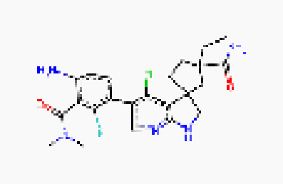 CCC1(C(N)=O)CCC2(CNc3ncc(-c4ccc(N)c(C(=O)N(C)C)c4F)c(Cl)c32)C1